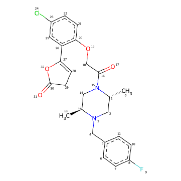 C[C@@H]1CN(Cc2ccc(F)cc2)[C@@H](C)CN1C(=O)COc1ccc(Cl)cc1C1=CCC(=O)O1